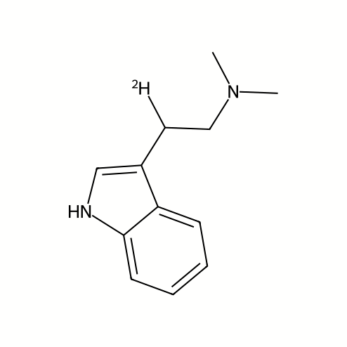 [2H]C(CN(C)C)c1c[nH]c2ccccc12